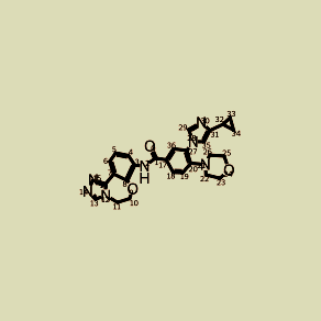 O=C(Nc1cccc2c1OCCn1cnnc1-2)c1ccc(N2CCOCC2)c(-n2cnc(C3CC3)c2)c1